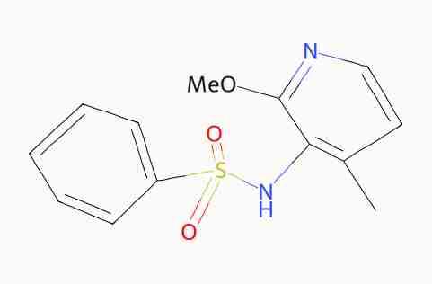 COc1nccc(C)c1NS(=O)(=O)c1ccccc1